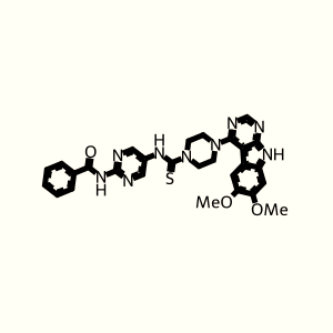 COc1cc2[nH]c3ncnc(N4CCN(C(=S)Nc5cnc(NC(=O)c6ccccc6)nc5)CC4)c3c2cc1OC